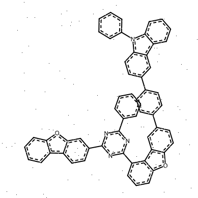 c1ccc(-c2nc(-c3ccc4c(c3)oc3ccccc34)nc(-c3cccc4oc5ccc(-c6ccc(-c7ccc8c(c7)c7ccccc7n8-c7ccccc7)cc6)cc5c34)n2)cc1